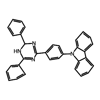 c1ccc(C2=NC(c3ccc(-n4c5ccccc5c5ccccc54)cc3)=NC(c3ccccc3)N2)cc1